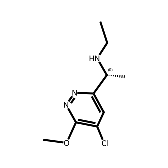 CCN[C@H](C)c1cc(Cl)c(OC)nn1